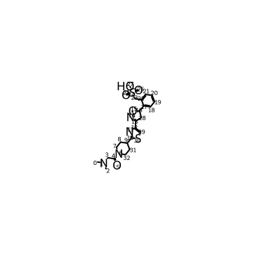 CN(C)CC(=O)N1CCC(c2nc(C3=NOC(c4ccccc4CS(=O)(=O)O)C3)cs2)CC1